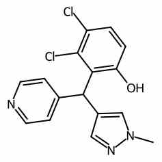 Cn1cc(C(c2ccncc2)c2c(O)ccc(Cl)c2Cl)cn1